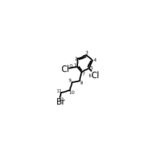 Clc1cccc(Cl)c1CCCCBr